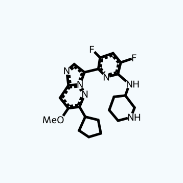 COc1cc2ncc(-c3nc(NC4CCCNC4)c(F)cc3F)n2nc1C1CCCC1